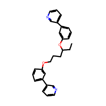 [CH2]CC(CCCOc1cccc(-c2cccnc2)c1)Oc1cccc(-c2cccnc2)c1